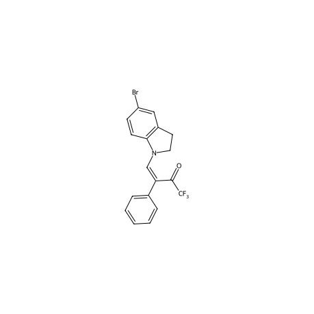 O=C(/C(=C\N1CCc2cc(Br)ccc21)c1ccccc1)C(F)(F)F